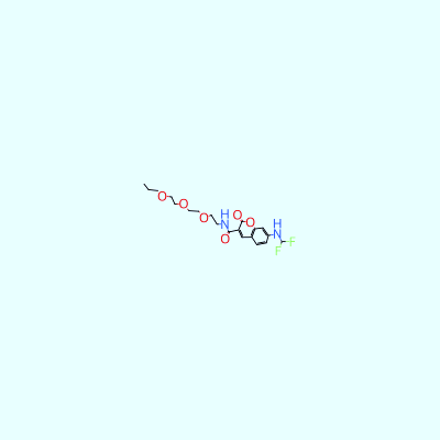 CCCOCCOCCOCCNC(=O)c1cc2ccc(NC(F)F)cc2oc1=O